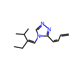 C=C/C=C\c1nncn1/C=C(/CC)C(C)C